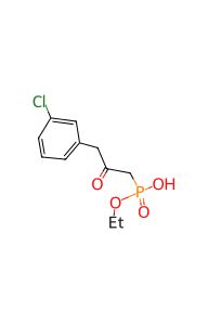 CCOP(=O)(O)CC(=O)Cc1cccc(Cl)c1